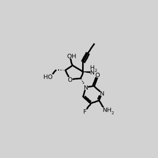 CC#C[C@@]1(N)C(O)[C@@H](CO)O[C@H]1n1cc(F)c(N)nc1=O